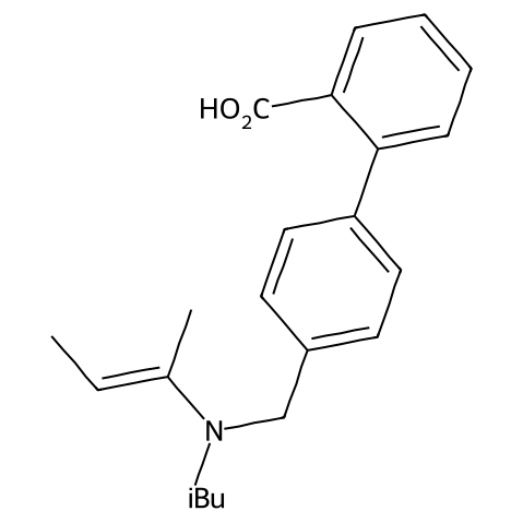 C/C=C(\C)N(Cc1ccc(-c2ccccc2C(=O)O)cc1)C(C)CC